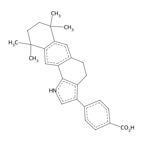 CC1(C)CCC(C)(C)c2cc3c(cc21)CCc1c(-c2ccc(C(=O)O)cc2)c[nH]c1-3